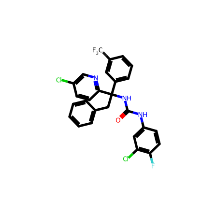 O=C(Nc1ccc(F)c(Cl)c1)NC(Cc1ccccc1)(c1cccc(C(F)(F)F)c1)c1ccc(Cl)cn1